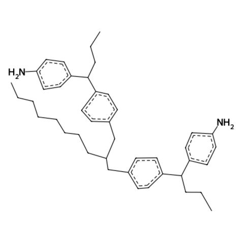 CCCCCCCCC(Cc1ccc(C(CCC)c2ccc(N)cc2)cc1)Cc1ccc(C(CCC)c2ccc(N)cc2)cc1